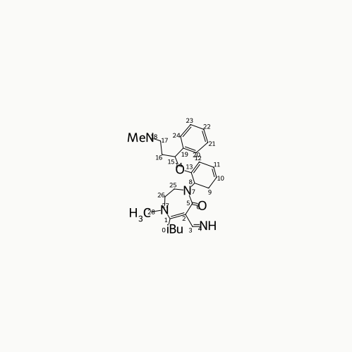 CCC(C)C1=C(C=N)C(=O)N(C2CC=CC=C2OC(CCNC)c2ccccc2)CCN1C